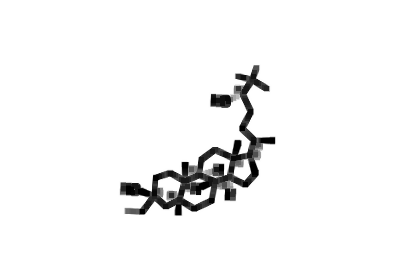 CC[C@]1(O)CC[C@]2(C)[C@H]3CC[C@]4(C)[C@@H]([C@H](C)CC[C@H](O)C(C)(C)C)CC[C@H]4[C@@H]3CC[C@]2(C)C1